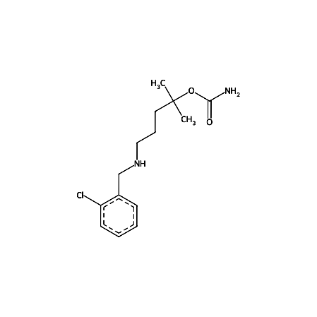 CC(C)(CCCNCc1ccccc1Cl)OC(N)=O